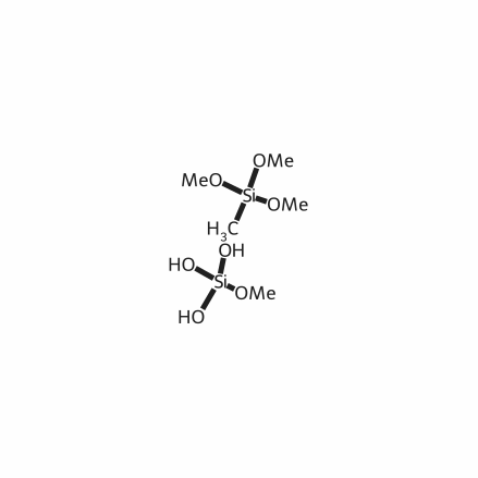 CO[Si](C)(OC)OC.CO[Si](O)(O)O